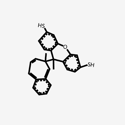 CC1(C2(C)c3ccc(S)cc3Oc3cc(S)ccc32)C=CC=c2ccccc2=C1